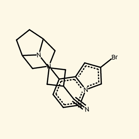 N#CC1CC(N2C3CCC2CN(c2ccnn4cc(Br)cc24)C3)C1